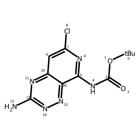 CC(C)(C)OC(=O)Nc1nc(Cl)cc2nc(N)nnc12